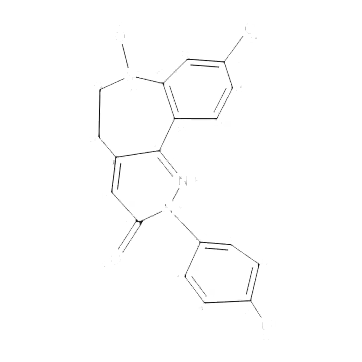 O=c1cc2c(nn1-c1ccc(Cl)cc1)-c1ccc(Cl)cc1[S+]([O-])CC2